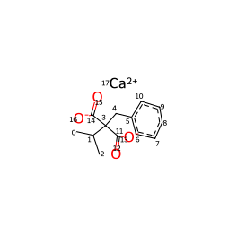 CC(C)C(Cc1ccccc1)(C(=O)[O-])C(=O)[O-].[Ca+2]